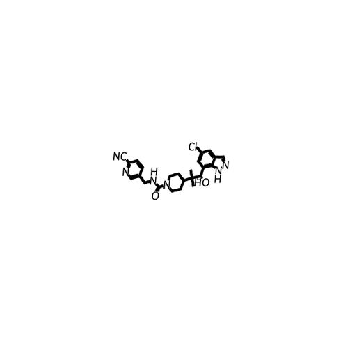 CC(C)(C1CCN(C(=O)NCc2ccc(C#N)nc2)CC1)[C@H](O)c1cc(Cl)cc2cn[nH]c12